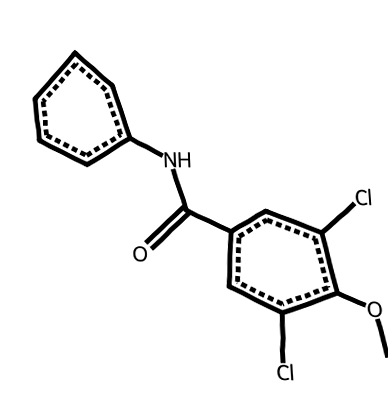 COc1c(Cl)cc(C(=O)Nc2ccccc2)cc1Cl